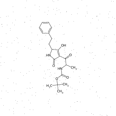 CC(NC(=O)OC(C)(C)C)C(=O)C1=C(O)C(CCc2ccccc2)NC1=O